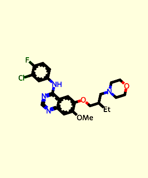 CCC(COc1cc2c(Nc3ccc(F)c(Cl)c3)ncnc2cc1OC)CN1CCOCC1